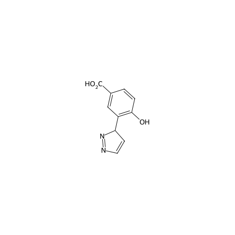 O=C(O)c1ccc(O)c(C2C=CN=N2)c1